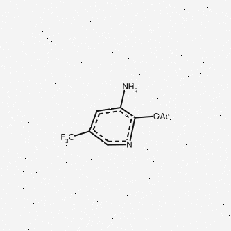 CC(=O)Oc1ncc(C(F)(F)F)cc1N